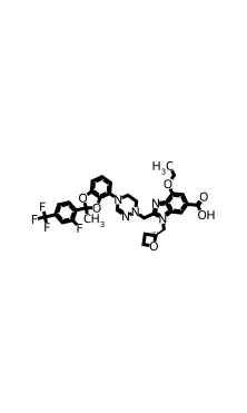 CCOc1cc(C(=O)O)cc2c1nc(CN1CCN(c3cccc4c3OC(C)(c3ccc(C(F)(F)F)cc3F)O4)C=N1)n2C[C@@H]1CCO1